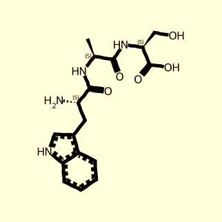 C[C@H](NC(=O)[C@@H](N)Cc1c[nH]c2ccccc12)C(=O)N[C@@H](CO)C(=O)O